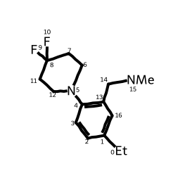 CCc1ccc(N2CCC(F)(F)CC2)c(CNC)c1